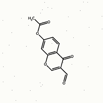 CC(=O)Oc1ccc2c(=O)c(C=O)coc2c1